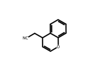 N#CCC1C=COc2ccccc21